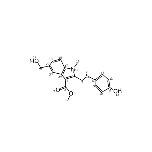 COC(=O)c1c(CSc2ccc(O)cc2)n(C)c2ccc(CO)cc12